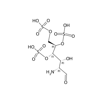 N[C@@H](C=O)[C@@H](O)[C@H](OS(=O)(=O)O)[C@@H](COS(=O)(=O)O)OS(=O)(=O)O